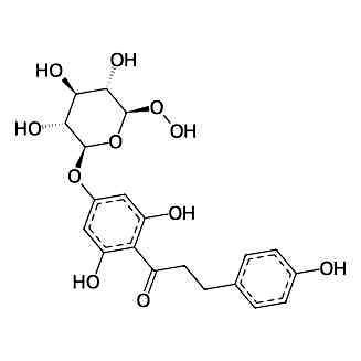 O=C(CCc1ccc(O)cc1)c1c(O)cc(O[C@@H]2O[C@H](OO)[C@@H](O)[C@H](O)[C@H]2O)cc1O